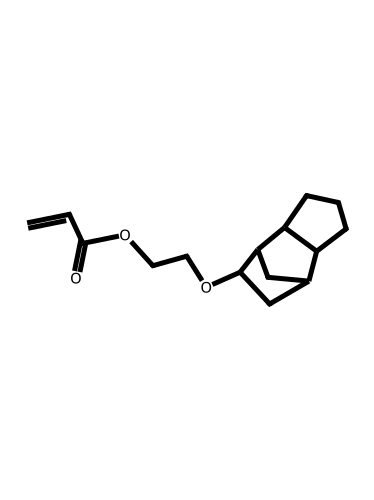 C=CC(=O)OCCOC1CC2CC1C1CCCC21